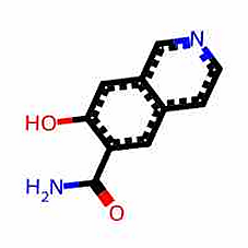 NC(=O)c1cc2ccncc2cc1O